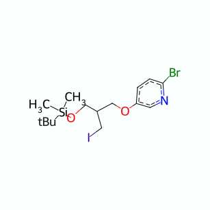 CC(C)(C)[Si](C)(C)OCC(CI)COc1ccc(Br)nc1